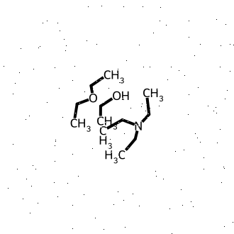 CCN(CC)CC.CCO.CCOCC